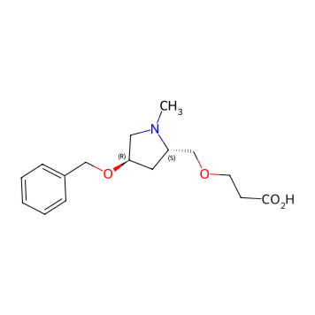 CN1C[C@H](OCc2ccccc2)C[C@H]1COCCC(=O)O